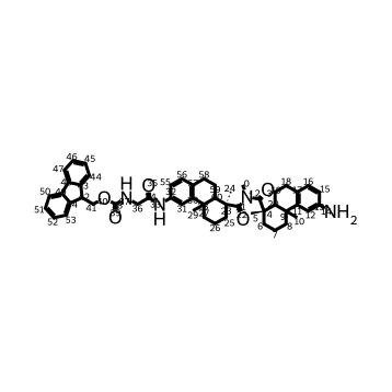 CN(C(=O)[C@@]1(C)CCCC2(C)c3cc(N)ccc3CCC21)C(=O)[C@@]1(C)CCCC2(C)c3cc(NC(=O)CNC(=O)OCC4c5ccccc5-c5ccccc54)ccc3CCC21